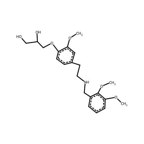 COc1cc(CCNCc2cccc(OC)c2OC)ccc1OCC(O)CO